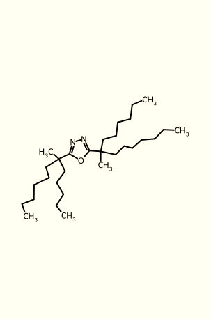 CCCCCCCC(C)(CCCCCC)c1nnc(C(C)(CCCCC)CCCCCC)o1